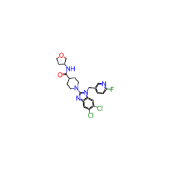 O=C(NC1CCOC1)C1CCN(c2nc3cc(Cl)c(Cl)cc3n2Cc2ccc(F)nc2)CC1